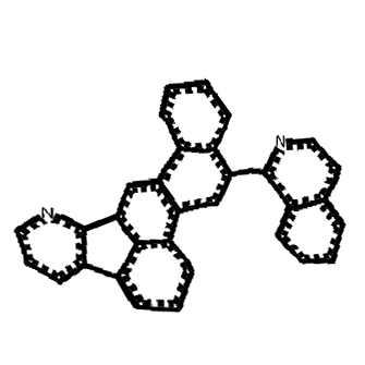 c1cnc2c(c1)-c1cccc3c1c-2cc1c2ccccc2c(-c2nccc4ccccc24)cc31